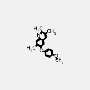 Cc1cc2nc(C)c(C)cc2cc1Oc1ccc(OC(F)(F)F)cc1